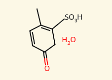 CC1=C(S(=O)(=O)O)CC(=O)C=C1.O